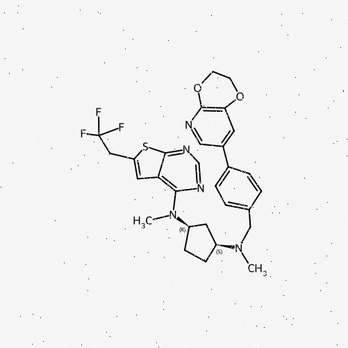 CN(Cc1ccc(-c2cnc3c(c2)OCCO3)cc1)[C@H]1CC[C@@H](N(C)c2ncnc3sc(CC(F)(F)F)cc23)C1